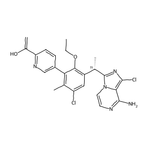 C=C(O)c1ccc(-c2c(C)c(Cl)cc([C@H](C)c3nc(Cl)c4c(N)nccn34)c2OCC)cn1